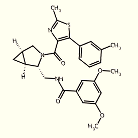 COc1cc(OC)cc(C(=O)NC[C@@H]2[C@H]3C[C@H]3CN2C(=O)c2nc(C)sc2-c2cccc(C)c2)c1